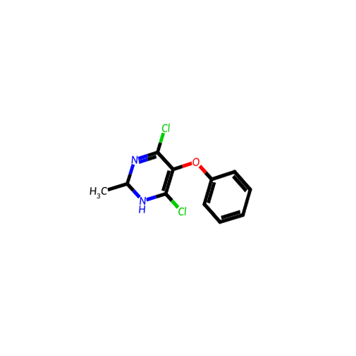 CC1N=C(Cl)C(Oc2ccccc2)=C(Cl)N1